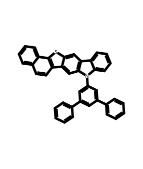 c1ccc(-c2cc(-c3ccccc3)cc(-n3c4ccccc4c4cc5sc6c7ccccc7ccc6c5cc43)c2)cc1